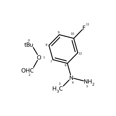 CC(C)(C)OC=O.CN(N)c1cccc(F)c1